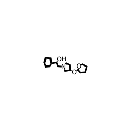 O[C@H](CN1CC[C@H](OC2CCCCO2)C1)c1ccccc1